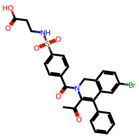 CC(=O)C1=C(c2ccccc2)c2cc(Br)ccc2CN1C(=O)c1ccc(S(=O)(=O)NCCC(=O)O)cc1